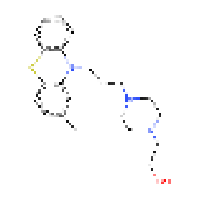 Cc1ccc2c(c1)N(CCCN1CCN(CCO)CC1)c1ccccc1S2